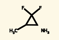 CC1CC1(F)F.N